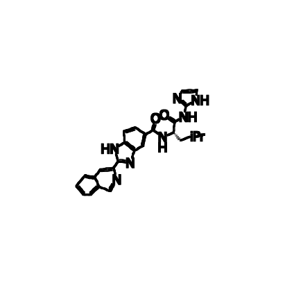 CC(C)C[C@H](NC(=O)c1ccc2[nH]c(-c3cc4ccccc4cn3)nc2c1)C(=O)Nc1ncc[nH]1